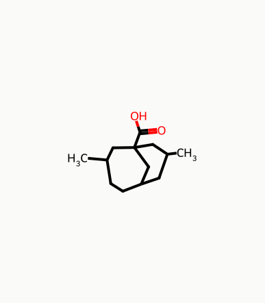 CC1CCC2CC(C)CC(C(=O)O)(C1)C2